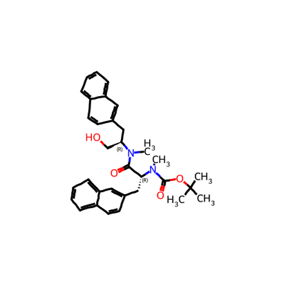 CN(C(=O)[C@@H](Cc1ccc2ccccc2c1)N(C)C(=O)OC(C)(C)C)[C@@H](CO)Cc1ccc2ccccc2c1